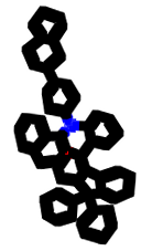 c1ccc(C2(c3ccccc3)c3ccccc3-c3c(-c4ccccc4N(c4ccc(-c5ccc6ccccc6c5)cc4)c4cccc5ccccc45)cccc32)cc1